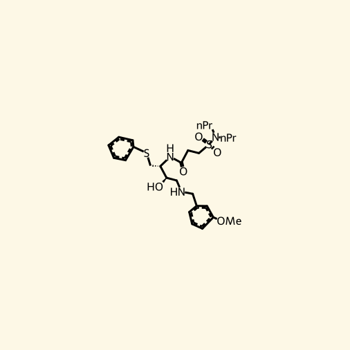 CCCN(CCC)S(=O)(=O)CCC(=O)N[C@@H](CSc1ccccc1)[C@H](O)CNCc1cccc(OC)c1